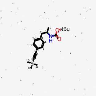 CC(Cc1ccc(C#C[Si](C)(C)C)cc1)NC(=O)OC(C)(C)C